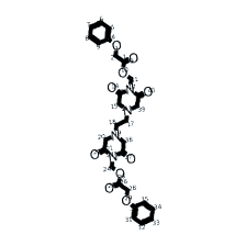 O=C(COc1ccccc1)OCN1C(=O)CN(CCN2CC(=O)N(COC(=O)COc3ccccc3)C(=O)C2)CC1=O